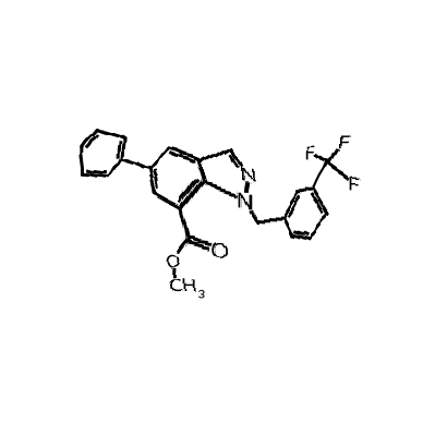 COC(=O)c1cc(-c2ccccc2)cc2cnn(Cc3cccc(C(F)(F)F)c3)c12